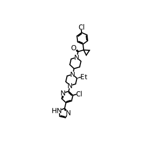 CC[C@H]1CN(c2ncc(-c3ncc[nH]3)cc2Cl)CCN1C1CCN(C(=O)C2(c3ccc(Cl)cc3)CC2)CC1